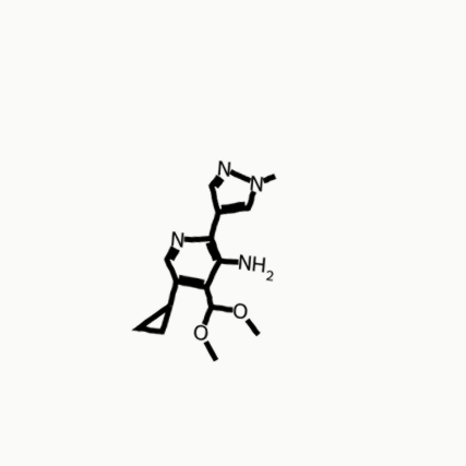 COC(OC)c1c(C2CC2)cnc(-c2cnn(C)c2)c1N